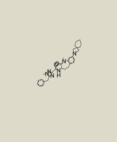 CN1C(=O)C(NC(=O)c2nc(Cc3ccccc3)n(C)n2)CCc2ccc(N3CC4(CCCCC4)C3)cc21